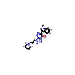 Cn1cc(-c2nnc(NCCCN3CCCCC3)[nH]c2=O)c2ccccc21